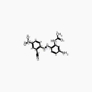 CC(=O)Nc1cc(N)ccc1/N=N/c1ccc([N+](=O)[O-])cc1C#N